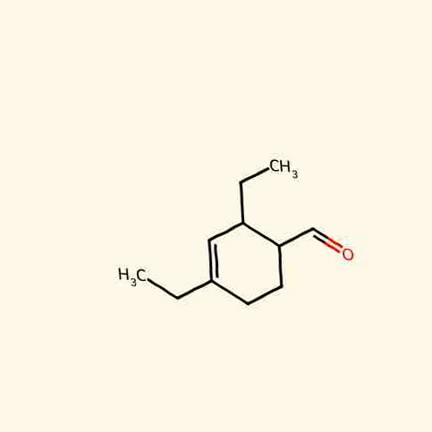 CCC1=CC(CC)C(C=O)CC1